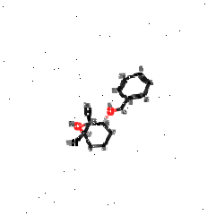 c1ccc(CO[C@@H]2CCC[C@@H]3O[C@@H]32)cc1